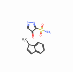 CC1C=Cc2ccccc21.NS(=O)(=O)C1=NN=CC1=O